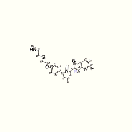 C=C(NC(CCC)c1ccc(OCCOCCNC)cc1)/C(C#N)=C/c1cccc(F)n1